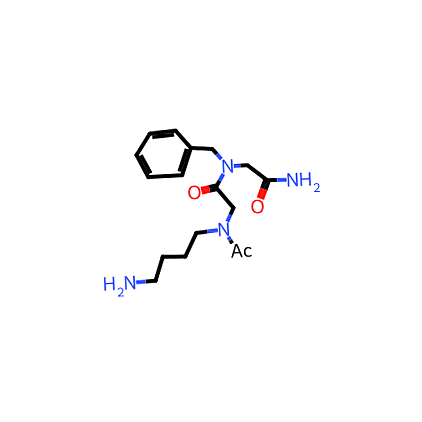 CC(=O)N(CCCCN)CC(=O)N(CC(N)=O)Cc1ccccc1